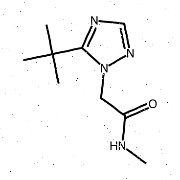 CNC(=O)Cn1ncnc1C(C)(C)C